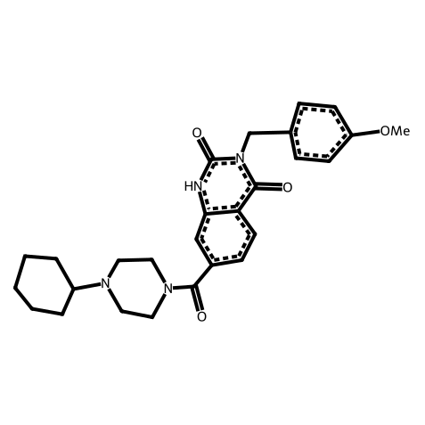 COc1ccc(Cn2c(=O)[nH]c3cc(C(=O)N4CCN(C5CCCCC5)CC4)ccc3c2=O)cc1